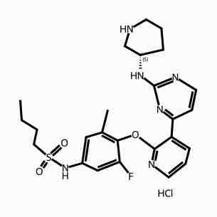 CCCCS(=O)(=O)Nc1cc(C)c(Oc2ncccc2-c2ccnc(N[C@H]3CCCNC3)n2)c(F)c1.Cl